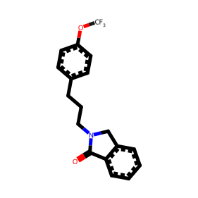 O=C1c2ccccc2CN1CCCc1ccc(OC(F)(F)F)cc1